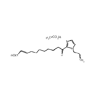 C=CCn1ccnc1C(=O)CCCCCCCC=CCCCCCCCC.CC(=O)O